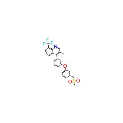 Cc1cnc2c(C(F)(F)F)cccc2c1-c1cccc(Oc2cccc(CS(C)(=O)=O)c2)c1